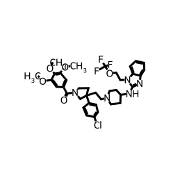 COc1cc(C(=O)N2CCC(CCN3CCC(Nc4nc5ccccc5n4CCOC(F)(F)F)CC3)(c3ccc(Cl)cc3)C2)cc(OC)c1OC